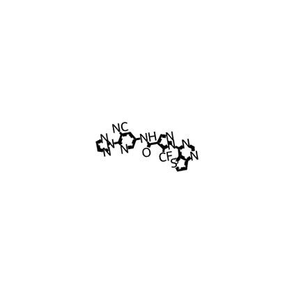 N#Cc1cc(NC(=O)c2cnn(-c3ncnc4ccsc34)c2C(F)(F)F)cnc1-n1nccn1